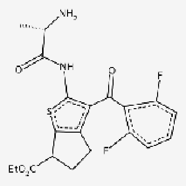 CCOC(=O)C1CCc2c1sc(NC(=O)[C@H](C)N)c2C(=O)c1c(F)cccc1F